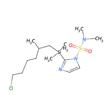 CC(CCCCCl)C[Si](C)(C)c1nccn1S(=O)(=O)N(C)C